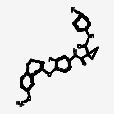 COc1ccc2nccc(Oc3ccc(NC(=O)C4(C(=O)Nc5ccc(F)cc5)CC4)cc3F)c2c1